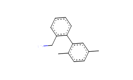 Cc1ccc(C)c(-c2ccccc2CN)c1